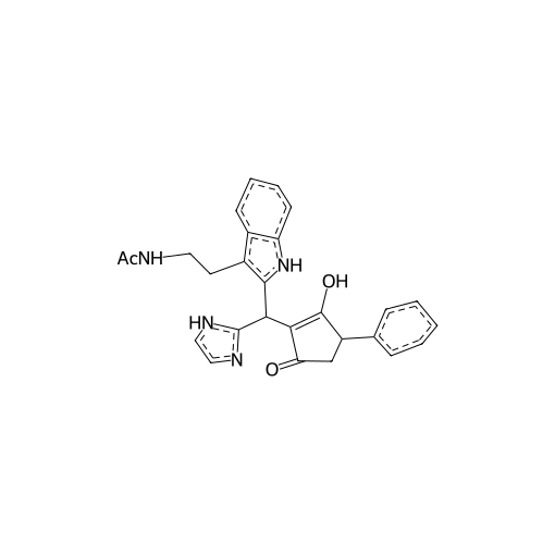 CC(=O)NCCc1c(C(C2=C(O)C(c3ccccc3)CC2=O)c2ncc[nH]2)[nH]c2ccccc12